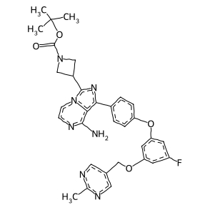 Cc1ncc(COc2cc(F)cc(Oc3ccc(-c4nc(C5CN(C(=O)OC(C)(C)C)C5)n5ccnc(N)c45)cc3)c2)cn1